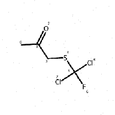 CC(=O)CSC(F)(Cl)Cl